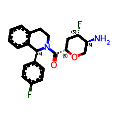 N[C@H]1CO[C@H](C(=O)N2CCc3ccccc3[C@@H]2c2ccc(F)cc2)C[C@@H]1F